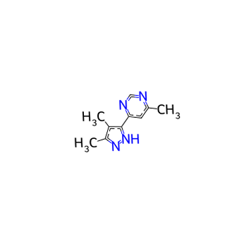 Cc1cc(-c2[nH]nc(C)c2C)ncn1